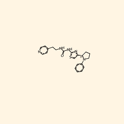 O=C(NCCc1ccncc1)Nc1nc([C@H]2CCCN2c2ccccc2)cs1